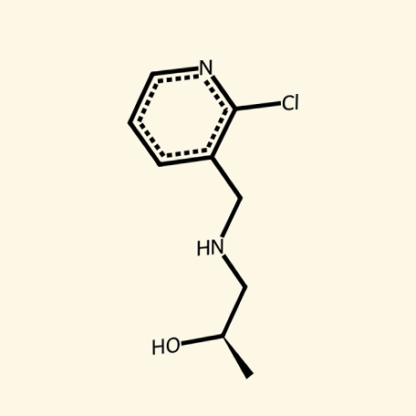 C[C@@H](O)CNCc1cccnc1Cl